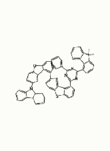 CC1(C)c2ccccc2-c2c(-c3nc(-c4ccccc4)nc(-c4cccc5sc6ccc(-c7cccc8oc9ccc(N%10c%11ccccc%11C%11C=CCCC%11%10)cc9c78)cc6c45)n3)cccc21